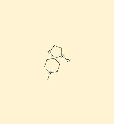 CN1CCC2(CC1)OCC[S+]2[O-]